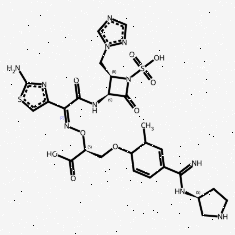 CC1C=C(C(=N)N[C@H]2CCNC2)C=CC1OC[C@H](O/N=C(\C(=O)N[C@@H]1C(=O)N(S(=O)(=O)O)[C@@H]1Cn1cncn1)c1csc(N)n1)C(=O)O